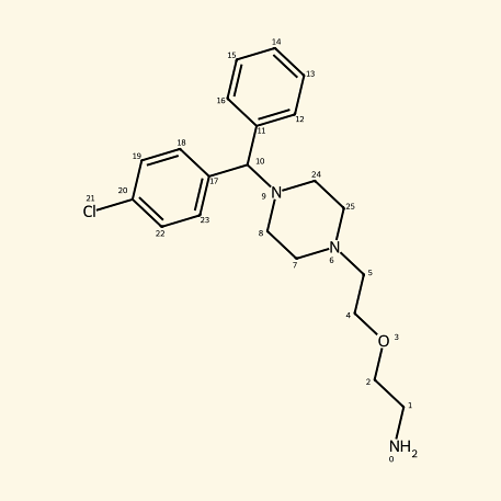 NCCOCCN1CCN(C(c2ccccc2)c2ccc(Cl)cc2)CC1